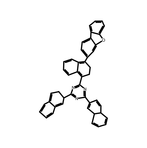 C1=CC2C=CC(c3nc(C4=c5ccccc5=C(c5ccc6c(c5)oc5ccccc56)CC4)nc(C4C=c5ccccc5=CC4)n3)=CC2C=C1